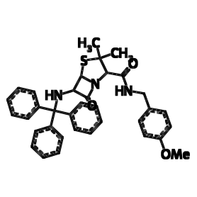 COc1ccc(CNC(=O)C2N3C(=O)C(NC(c4ccccc4)(c4ccccc4)c4ccccc4)C3SC2(C)C)cc1